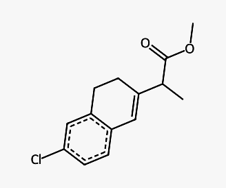 COC(=O)C(C)C1=Cc2ccc(Cl)cc2CC1